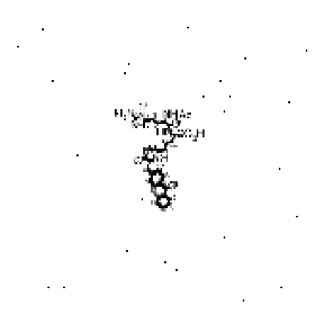 CC(=O)N[C@@H](CCCNC(=N)N)C(=O)NC(CCCC(=O)N[C@@H](Cc1ccc(C(=O)c2ccccc2)cc1)C(N)=O)C(=O)O